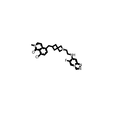 Cn1ccc2c(CC3CC4(C3)CN(CCNc3cc5nncn5cc3F)C4)ccc(Cl)c2c1=O